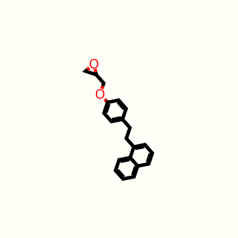 c1ccc2c(CCc3ccc(OCC4CO4)cc3)cccc2c1